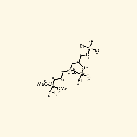 CC[Si](CC)(CC)OCC(COCCC[Si](C)(OC)OC)O[Si](CC)(CC)CC